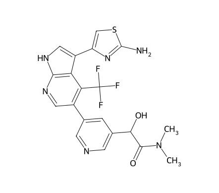 CN(C)C(=O)C(O)c1cncc(-c2cnc3[nH]cc(-c4csc(N)n4)c3c2C(F)(F)F)c1